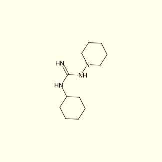 N=C(NC1CCCCC1)NN1CCCCC1